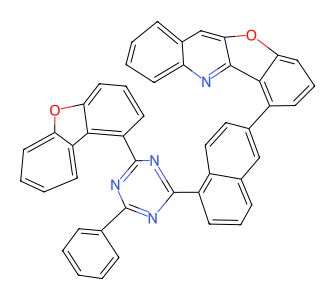 c1ccc(-c2nc(-c3cccc4cc(-c5cccc6oc7cc8ccccc8nc7c56)ccc34)nc(-c3cccc4oc5ccccc5c34)n2)cc1